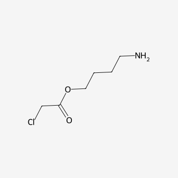 NCCCCOC(=O)CCl